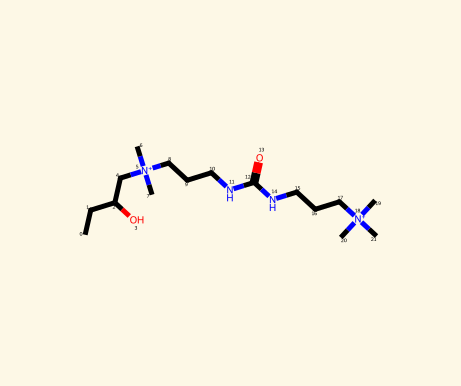 CCC(O)C[N+](C)(C)CCCNC(=O)NCCC[N+](C)(C)C